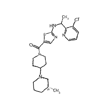 CC(Nc1ncc(C(=O)N2CCC(N3CCC[C@@H](C)C3)CC2)s1)c1ncccc1Cl